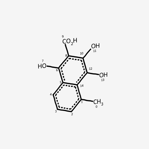 Cc1cccc2c(O)c(C(=O)O)c(O)c(O)c12